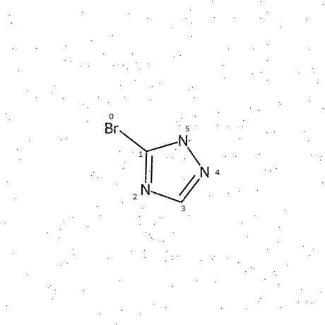 BrC1=NC=N[N]1